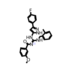 COc1cccc(C(=O)/N=C(/NCc2ccccc2C)Nc2cc(-c3ccc(F)cc3)n[nH]2)c1